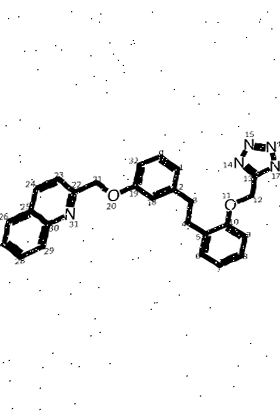 c1cc(CCc2ccccc2OCc2nnn[nH]2)cc(OCc2ccc3ccccc3n2)c1